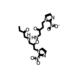 CCC(=O)CNCC(Cn1ccnc1[N+](=O)[O-])ONCC(=O)CCn1ccnc1[N+](=O)[O-]